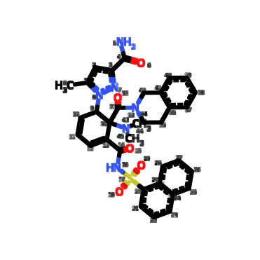 Cc1cc(C(N)=O)nn1C1C=CC=C(C(=O)NS(=O)(=O)c2cccc3ccccc23)C1(C(=O)N1CCc2ccccc2C1)N(C)C